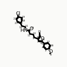 COc1ccc(-c2cc(CCCC(=O)NCCc3ccc(Cl)cc3)c(C)o2)cc1